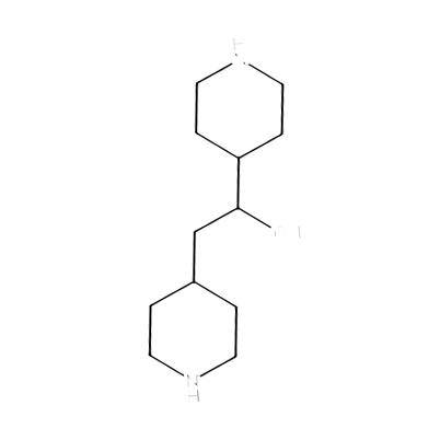 OC(CC1CCNCC1)C1CCNCC1